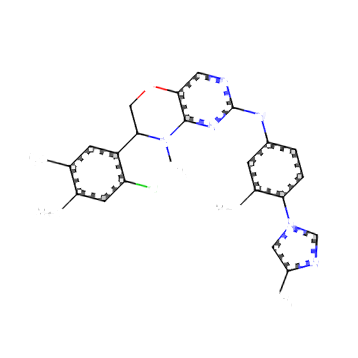 COc1cc(Nc2ncc3c(n2)N(C)C(c2cc(C(F)(F)F)c(OC)cc2Cl)CO3)ccc1-n1cnc(C)c1